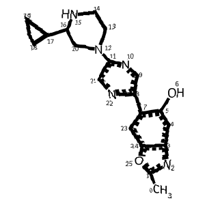 Cc1nc2cc(O)c(-c3cnc(N4CCNC(C5CC5)C4)cn3)cc2o1